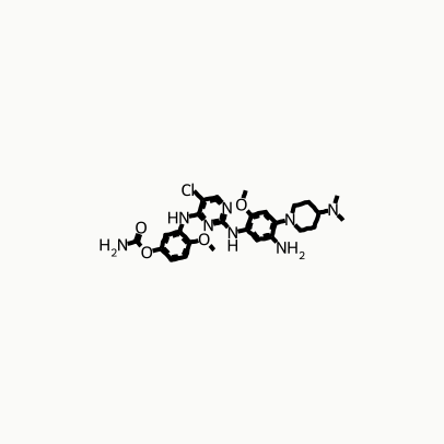 COc1cc(N2CCC(N(C)C)CC2)c(N)cc1Nc1ncc(Cl)c(Nc2cc(OC(N)=O)ccc2OC)n1